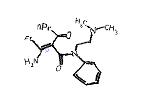 CCCC(=O)/C(C(=O)N(CCN(C)C)c1ccccc1)=C(/N)CC